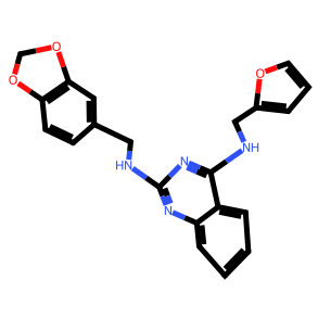 c1coc(CNc2nc(NCc3ccc4c(c3)OCO4)nc3ccccc23)c1